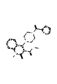 CC(C)OC(=O)c1c(N2CCN(C(=O)c3cccs3)CC2)c2ccccc2n(C)c1=O